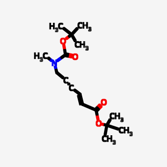 CN(CCC/C=C/C(=O)OC(C)(C)C)C(=O)OC(C)(C)C